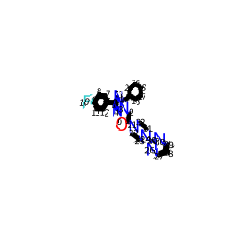 O=C(Cn1nc(-c2ccc(F)cc2)nc1C1CCCCC1)N1CCN(c2ncccn2)CC1